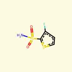 NS(=O)(=O)c1sccc1F